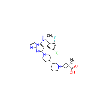 C[C@@H](Nc1cc(N2CCC([C@H]3CCCN(C4CC(C)(C(=O)O)C4)C3)CC2)nc2nccn12)c1ccc(Cl)cc1F